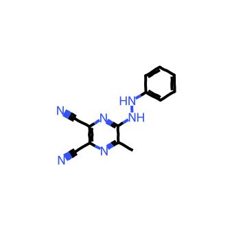 Cc1nc(C#N)c(C#N)nc1NNc1ccccc1